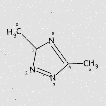 C[C]1N=NC(C)=N1